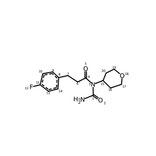 NC(=O)N(C(=O)[CH]Cc1ccc(F)cc1)C1CCOCC1